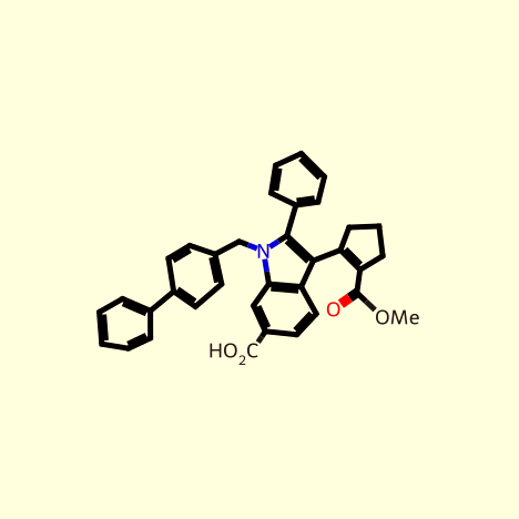 COC(=O)C1=C(c2c(-c3ccccc3)n(Cc3ccc(-c4ccccc4)cc3)c3cc(C(=O)O)ccc23)CCC1